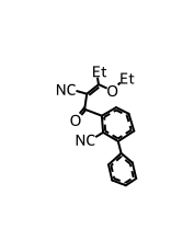 CCOC(CC)=C(C#N)C(=O)c1cccc(-c2ccccc2)c1C#N